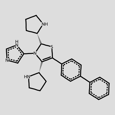 c1ccc(-c2ccc(C3=C([C@@H]4CCCN4)N(c4cnc[nH]4)C([C@@H]4CCCN4)S3)cc2)cc1